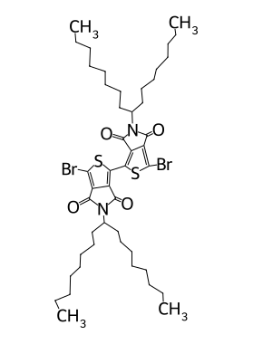 CCCCCCCCC(CCCCCCCC)N1C(=O)c2c(Br)sc(-c3sc(Br)c4c3C(=O)N(C(CCCCCCCC)CCCCCCCC)C4=O)c2C1=O